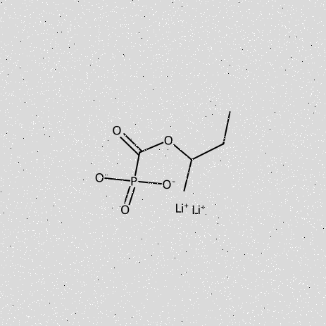 CCC(C)OC(=O)P(=O)([O-])[O-].[Li+].[Li+]